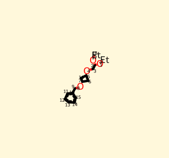 CCOC(CO[C@H]1C[C@@H](OCc2ccccc2)C1)OCC